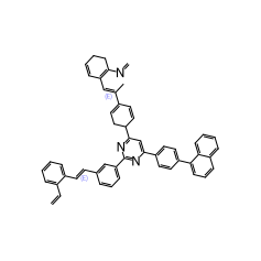 C=Cc1ccccc1/C=C/c1cccc(-c2nc(-c3ccc(-c4cccc5ccccc45)cc3)cc(C3C=CC(/C(C)=C/C4=C(N=C)CCC=C4)=CC3)n2)c1